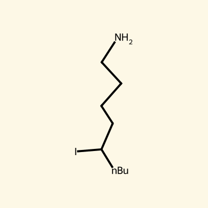 CCCCC(I)CCCCN